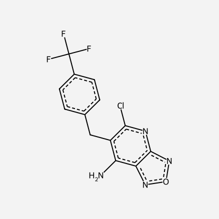 Nc1c(Cc2ccc(C(F)(F)F)cc2)c(Cl)nc2nonc12